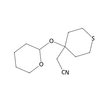 N#CCC1(OC2CCCCO2)CCSCC1